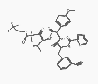 COc1ccc(C(NC(=O)C(Cc2cccc(C#N)c2)NC(=O)c2ccccn2)C(=O)NC(C(=O)C(F)(F)C(=O)NCC(F)(F)F)C(C)C)cc1